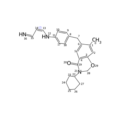 Cc1cc2c(cc1Cc1ccc(N/C=C\C=N)cc1)C(=O)N(C1CCCCC1)CO2